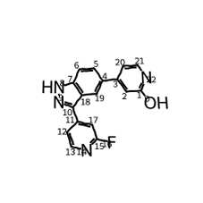 Oc1cc(-c2ccc3[nH]nc(-c4ccnc(F)c4)c3c2)ccn1